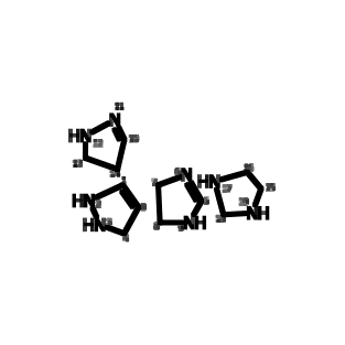 C1=CNNC1.C1=NCCN1.C1=NNCC1.C1CNCN1